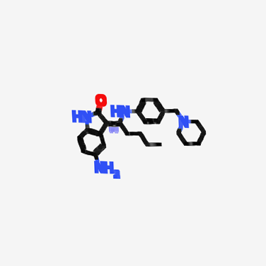 CCCC/C(Nc1ccc(CN2CCCCC2)cc1)=C1/C(=O)Nc2ccc(N)cc21